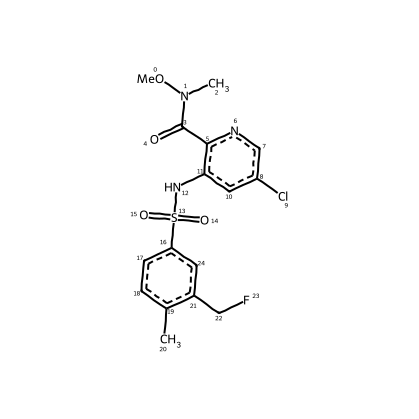 CON(C)C(=O)c1ncc(Cl)cc1NS(=O)(=O)c1ccc(C)c(CF)c1